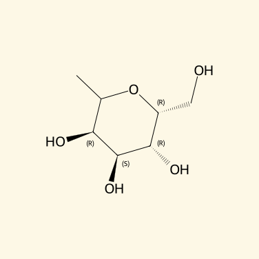 CC1O[C@H](CO)[C@H](O)[C@@H](O)[C@H]1O